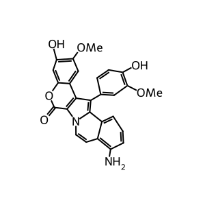 COc1cc(-c2c3c4cc(OC)c(O)cc4oc(=O)c3n3ccc4c(N)cccc4c23)ccc1O